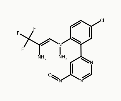 N/C(=C\N(N)c1ccc(Cl)cc1-c1cc(N=O)ncn1)C(F)(F)F